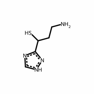 NCCC(S)c1nc[nH]n1